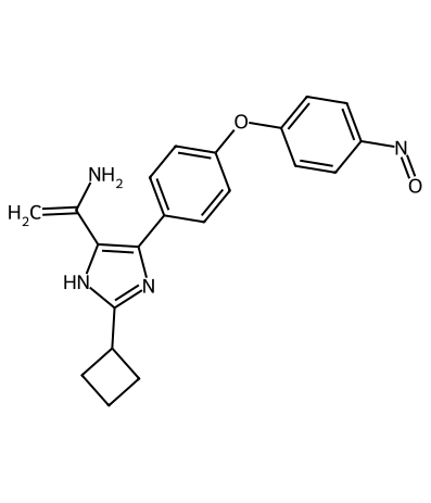 C=C(N)c1[nH]c(C2CCC2)nc1-c1ccc(Oc2ccc(N=O)cc2)cc1